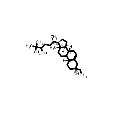 CC[C@]1(O)CC[C@H]2C(=CC[C@@H]3C2CC[C@]2(C)[C@@H]([C@H](C)CCC(O)C(C)(C)C)CC[C@@H]32)C1